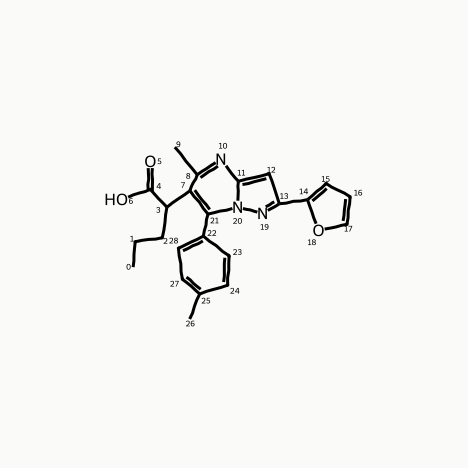 CCCC(C(=O)O)c1c(C)nc2cc(-c3ccco3)nn2c1-c1ccc(C)cc1